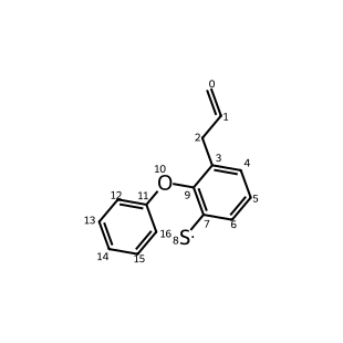 C=CCc1cccc([S])c1Oc1ccccc1